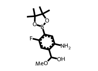 COC(O)c1cc(F)c(B2OC(C)(C)C(C)(C)O2)cc1N